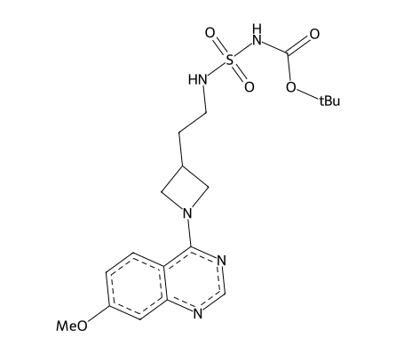 COc1ccc2c(N3CC(CCNS(=O)(=O)NC(=O)OC(C)(C)C)C3)ncnc2c1